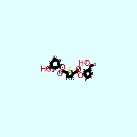 CC(O)c1cccc(OC(=O)c2ccc(C(=O)Oc3cccc(O)c3)s2)c1